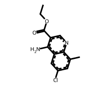 CCOC(=O)c1cnc2c(C)cc(Cl)cc2c1N